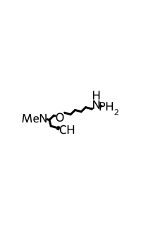 C#CCC(COCCCCCCNP)NC